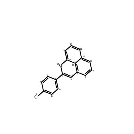 Clc1ccc(C2=Cc3cccc4cccc(c34)O2)cc1